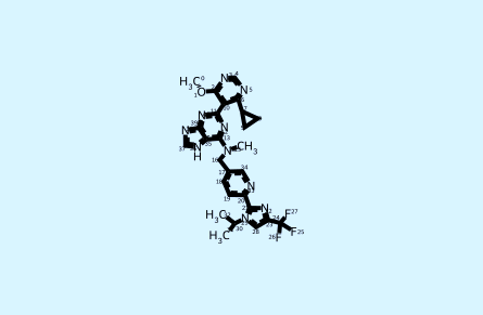 COc1ncnc(C2CC2)c1-c1nc(N(C)Cc2ccc(-c3nc(C(F)(F)F)cn3C(C)C)nc2)c2[nH]cnc2n1